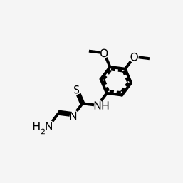 COc1ccc(NC(=S)/N=C/N)cc1OC